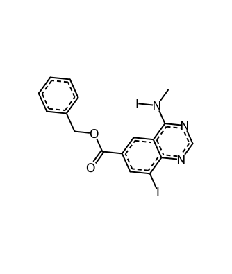 CN(I)c1ncnc2c(I)cc(C(=O)OCc3ccccc3)cc12